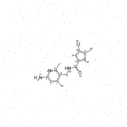 Cc1cc(N)nc(C)c1CNC(=O)c1cc(Cl)c(C)s1